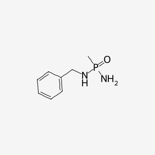 CP(N)(=O)NCc1ccccc1